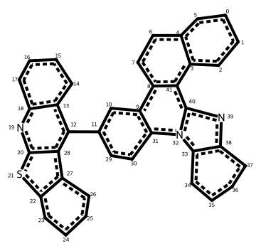 c1ccc2c(c1)ccc1c3cc(-c4c5ccccc5nc5sc6ccccc6c45)ccc3n3c4ccccc4nc3c21